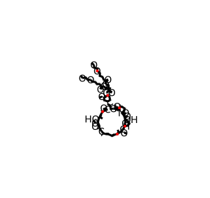 COCCOCCCCC(=O)OCC(C)(COC(=O)CCCCOCCOC)C(=O)O[C@@H]1CC[C@@H](C[C@@H](C)[C@@H]2CC(=O)[C@H](C)/C=C(\C)[C@@H](O)[C@@H](OC)C(=O)[C@H](C)C[C@H](C)/C=C/C=C/C=C(\C)[C@@H](OC)C[C@@H]3CC[C@@H](C)[C@@](O)(O3)C(=O)C(=O)N3CCCC[C@H]3C(=O)O2)C[C@H]1OC